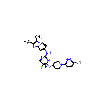 Cc1nc2cc(Nc3ncc(Cl)c(NC4CCN(c5ccc(C#N)nn5)CC4)n3)ccn2c1C